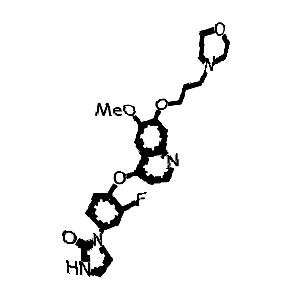 COc1cc2c(Oc3ccc(-n4cc[nH]c4=O)cc3F)ccnc2cc1OCCCN1CCOCC1